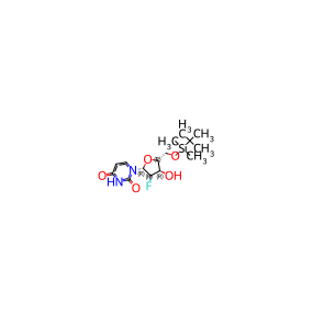 CC(C)(C)[Si](C)(C)OC[C@H]1O[C@@H](n2ccc(=O)[nH]c2=O)[C@H](F)[C@@H]1O